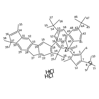 Cl.Cl.[CH2]=[Zr]([C]1=C(C)C([Si](C)(C)C)=CC1C)([C]1=C(C)c2cc3c(cc2C1(C)C)Cc1cc2c(cc1-3)C(C)=CC2(C)C)([c]1ccc(C(C)(C)C)cc1)[c]1ccc(C(C)(C)C)cc1